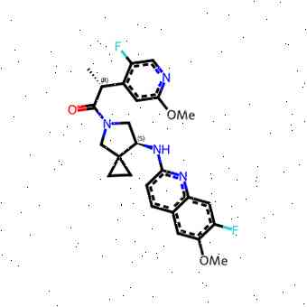 COc1cc([C@@H](C)C(=O)N2C[C@@H](Nc3ccc4cc(OC)c(F)cc4n3)C3(CC3)C2)c(F)cn1